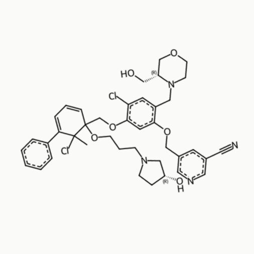 CC1(Cl)C(c2ccccc2)=CC=CC1(COc1cc(OCc2cncc(C#N)c2)c(CN2CCOC[C@H]2CO)cc1Cl)OCCCN1CC[C@@H](O)C1